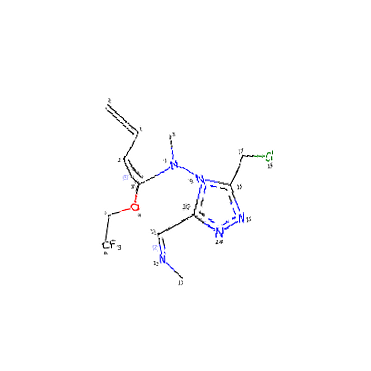 C=C/C=C(/OCC(F)(F)F)N(C)n1c(/C=N\C)nnc1CCl